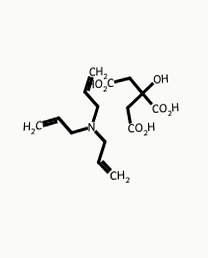 C=CCN(CC=C)CC=C.O=C(O)CC(O)(CC(=O)O)C(=O)O